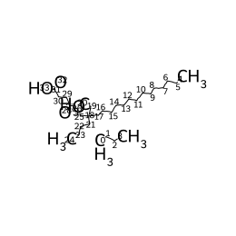 CCCC.CCCCCCCCCCCCCCC(CC)(CCCC)COC(=O)CCC(=O)O